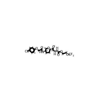 O=C(COc1ccc(Cl)cc1)N[C@@H]1CC[C@@H](C(=O)NNC(=O)OCCOC(F)(F)F)OC1